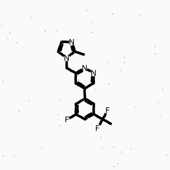 Cc1nccn1Cc1cc(-c2cc(F)cc(C(C)(F)F)c2)cnn1